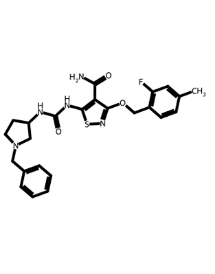 Cc1ccc(COc2nsc(NC(=O)NC3CCN(Cc4ccccc4)C3)c2C(N)=O)c(F)c1